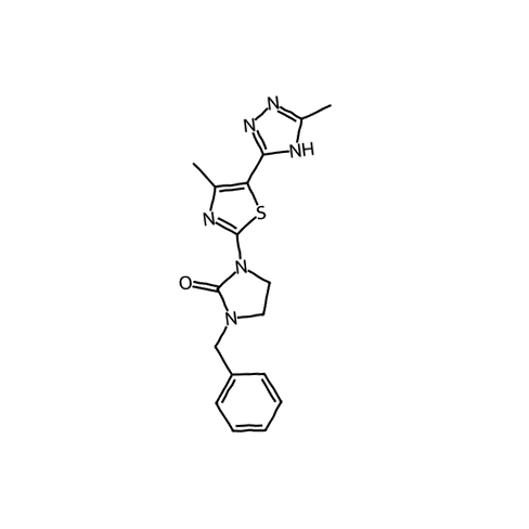 Cc1nnc(-c2sc(N3CCN(Cc4ccccc4)C3=O)nc2C)[nH]1